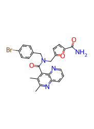 Cc1nc2cccnc2c(C(=O)N(Cc2ccc(Br)cc2)Cc2ccc(C(N)=O)o2)c1C